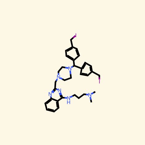 CN(C)CCCNc1nc(CN2CCN(C(c3ccc(CI)cc3)c3ccc(CI)cc3)CC2)nc2ccccc12